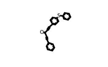 O=C(C#Cc1ccccc1)C#Cc1ccc(Sc2ccccc2)cc1